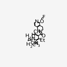 C=N/C(NC1(C)CC1)=C(\CC)C(C(=O)N1CCc2c(ccnc2OCF)C1)=C(C)C